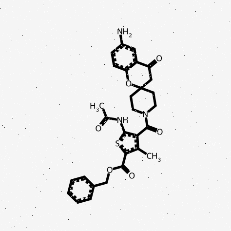 CC(=O)Nc1sc(C(=O)OCc2ccccc2)c(C)c1C(=O)N1CCC2(CC1)CC(=O)c1cc(N)ccc1O2